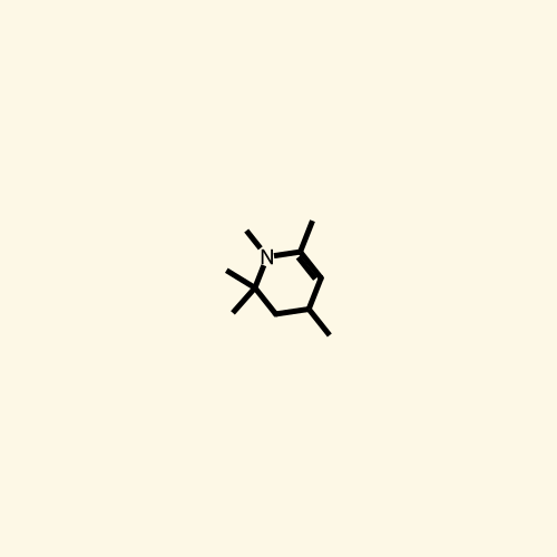 CC1=CC(C)CC(C)(C)N1C